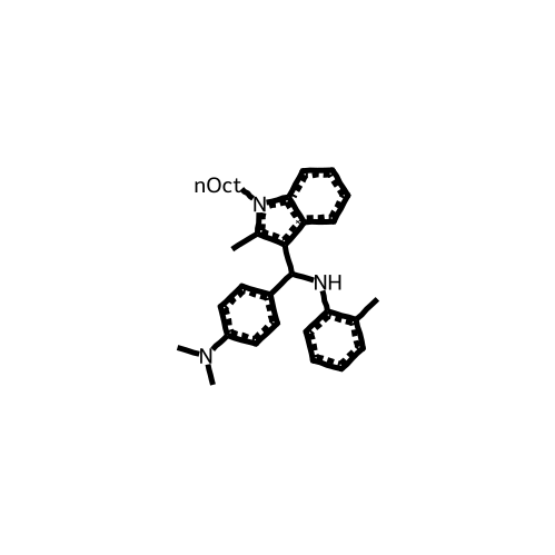 CCCCCCCCn1c(C)c(C(Nc2ccccc2C)c2ccc(N(C)C)cc2)c2ccccc21